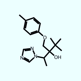 Cc1ccc(OCC(O)(C(C)n2cncn2)C(C)(C)C)cc1